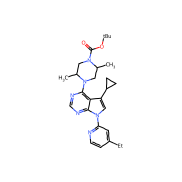 CCc1ccnc(-n2cc(C3CC3)c3c(N4CC(C)N(C(=O)OC(C)(C)C)CC4C)ncnc32)c1